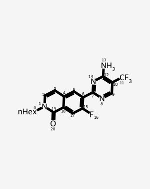 CCCCCCn1ccc2cc(-c3ncc(C(F)(F)F)c(N)n3)c(F)cc2c1=O